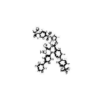 CS(=O)(=O)c1ccc(S(=O)(=O)N2CCC[C@H]2CN(C(=O)c2ccc(-c3ccc(C(F)(F)F)cc3)cc2)[C@@H](Cc2ccc(-c3ccccc3)cc2)C(=O)O)cc1